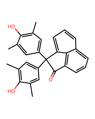 Cc1cc(C2(c3cc(C)c(O)c(C)c3)C(=O)c3cccc4cccc2c34)cc(C)c1O